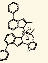 CC1=Cc2c(-c3ccccc3)cccc2[CH]1[Zr]([Cl])([Cl])([CH]1C(c2nccs2)=Cc2c(-c3ccccc3)cccc21)=[Si](C)C